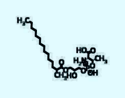 CCCCCCCCCCCCCC(C)C(=O)OC[C@@H](O)COP(=O)(O)O[C@@H](C)[C@H](N)C(=O)O